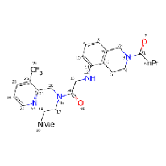 CCCC(=O)N1CCc2c(cccc2NCC(=O)N(CCNC)Cc2ncccc2C(F)(F)F)C1